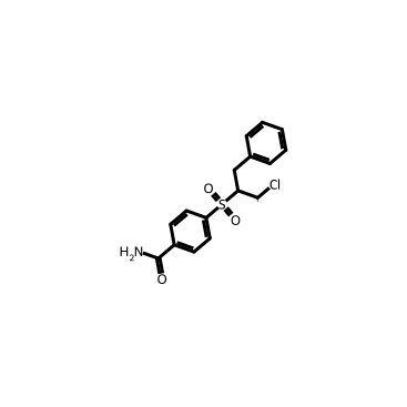 NC(=O)c1ccc(S(=O)(=O)C([CH]Cl)Cc2ccccc2)cc1